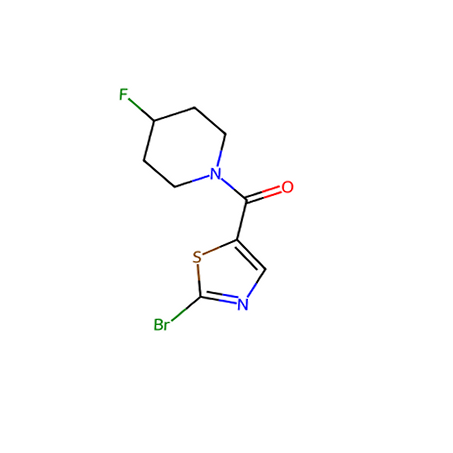 O=C(c1cnc(Br)s1)N1CCC(F)CC1